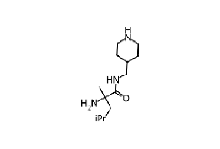 CC(C)CC(C)(N)C(=O)NCC1CCNCC1